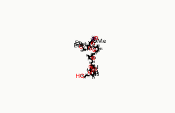 C=C1C[C@H](CC[C@@]23C[C@H]4O[C@H]5[C@@H](O2)C(C)[C@H](CCCO)O[C@H]5C4O3)OC1CC[C@H]1C[C@@H](C)C(=C)C(C[C@@H]2O[C@H](C[C@H](C)CO[Si](CC)(CC)CC)[C@H](C)C2CC(=O)CP(C)(=O)OC)O1